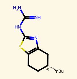 CCCC[C@@H]1CCc2sc(NC(=N)N)nc2C1